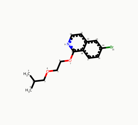 CC(C)COCCOc1nccc2cc(Br)ccc12